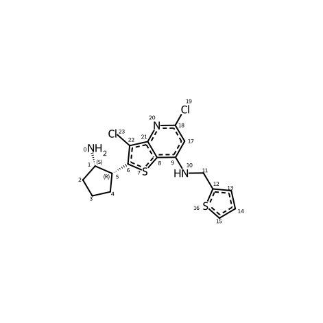 N[C@H]1CCC[C@H]1c1sc2c(NCc3cccs3)cc(Cl)nc2c1Cl